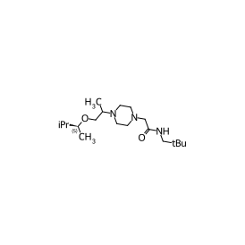 CC(C)[C@H](C)OCC(C)N1CCN(CC(=O)NCC(C)(C)C)CC1